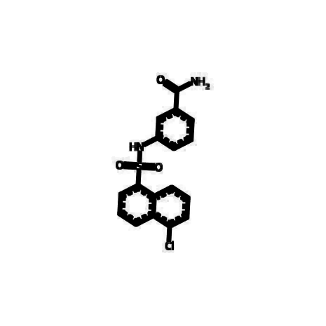 NC(=O)c1cccc(NS(=O)(=O)c2cccc3c(Cl)cccc23)c1